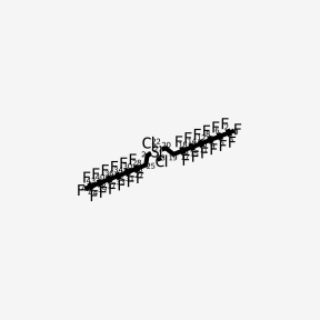 FC(F)(F)C(F)(F)C(F)(F)C(F)(F)C(F)(F)C(F)(F)CC[Si](Cl)(Cl)CCC(F)(F)C(F)(F)C(F)(F)C(F)(F)C(F)(F)C(F)(F)F